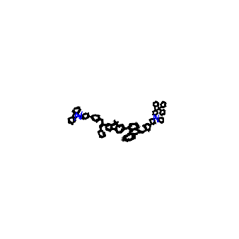 CC1(C)c2cc(/C(=C\c3ccccc3)Cc3ccc(-c4ccc(-n5c6ccccc6c6ccccc65)cc4)cc3)ccc2-c2ccc(-c3cccc4c3-c3ccccc3/C4=C/c3ccc(-c4ccc(N(c5ccccc5)c5ccc6c(c5)C(c5ccccc5)(c5ccccc5)c5ccccc5-6)cc4)cc3)cc21